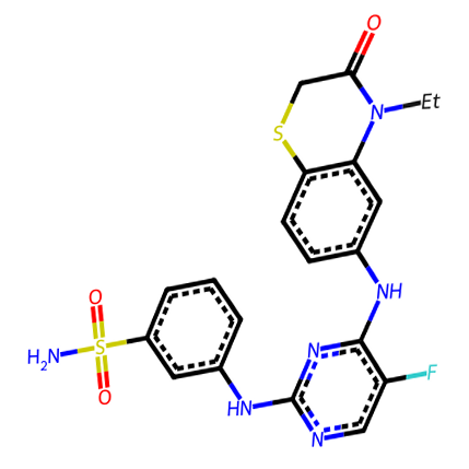 CCN1C(=O)CSc2ccc(Nc3nc(Nc4cccc(S(N)(=O)=O)c4)ncc3F)cc21